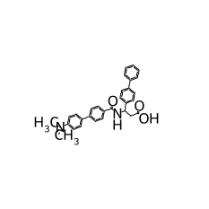 CN(C)c1ccc(-c2ccc(C(=O)NC(CC(=O)O)c3ccc(-c4ccccc4)cc3)cc2)cc1